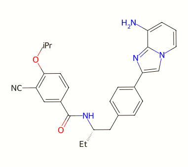 CC[C@@H](Cc1ccc(-c2cn3cccc(N)c3n2)cc1)NC(=O)c1ccc(OC(C)C)c(C#N)c1